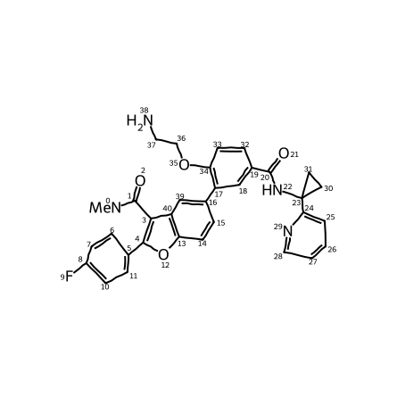 CNC(=O)c1c(-c2ccc(F)cc2)oc2ccc(-c3cc(C(=O)NC4(c5ccccn5)CC4)ccc3OCCN)cc12